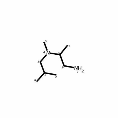 CC(C)CN(C)C(C)CN